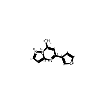 Cc1cc(-c2ccoc2)nc2ccnn12